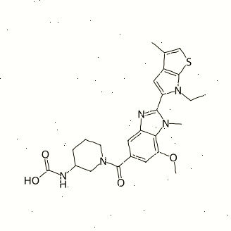 CCn1c(-c2nc3cc(C(=O)N4CCCC(NC(=O)O)C4)cc(OC)c3n2C)cc2c(C)csc21